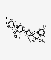 C=C1N(C(C)c2ccc(F)cc2)CCCC12CC(c1ccc(N(C=O)CC(C)=O)c(OC)c1)=NO2